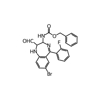 O=CC1Nc2ccc(Br)cc2C(c2ccccc2F)=NC1NC(=O)OCc1ccccc1